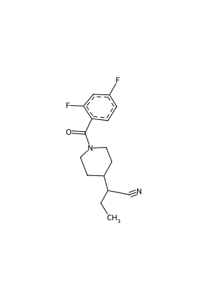 CCC(C#N)C1CCN(C(=O)c2ccc(F)cc2F)CC1